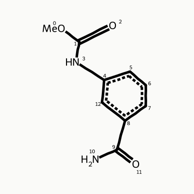 COC(=O)Nc1cccc(C(N)=O)c1